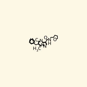 Cc1nc2c(C(=O)NCC3CCCO3)cnn2c(C)c1Cc1ccccc1